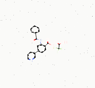 O=C(Nc1cc(-c2cccnc2)ccc1C(=O)O)c1ccccc1.O=C(O)C(F)(F)F